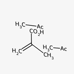 C=C(C)C(=O)O.CC(C)=O.CC(C)=O